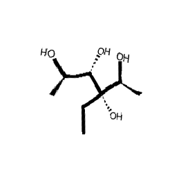 CC[C@](O)([C@H](C)O)[C@@H](O)[C@@H](C)O